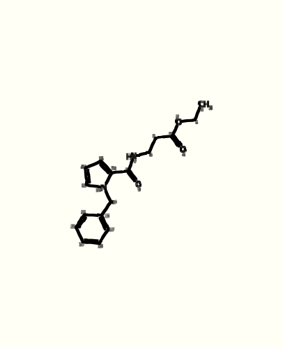 CCOC(=O)CCNC(=O)c1cccn1Cc1ccccc1